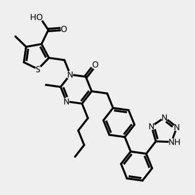 CCCCc1nc(C)n(Cc2scc(C)c2C(=O)O)c(=O)c1Cc1ccc(-c2ccccc2-c2nnn[nH]2)cc1